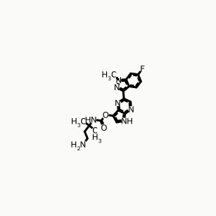 Cn1nc(-c2cnc3[nH]cc(OC(=O)NC(C)(C)CCN)c3n2)c2ccc(F)cc21